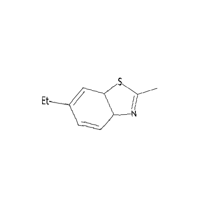 CCC1=CC2SC(C)=NC2C=C1